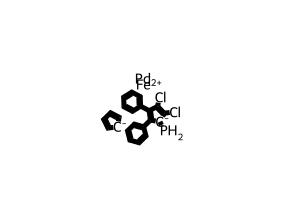 P[c-]1c(Cl)c(Cl)c(-c2ccccc2)c1-c1ccccc1.[Fe+2].[Pd].c1cc[cH-]c1